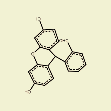 O=Cc1ccccc1C1c2ccc(O)cc2Oc2cc(O)ccc21